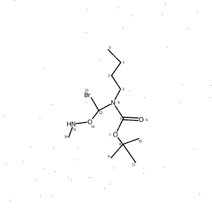 CCCCN(C(=O)OC(C)(C)C)C(Br)ONC